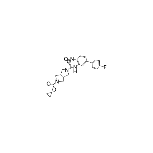 O=C(Nc1cc(-c2ccc(F)cc2)ccc1[N+](=O)[O-])N1CC2CN(C(=O)OC3CC3)CC2C1